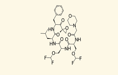 CC(C)C[C@H](NC(=O)[C@H](COC(F)F)NC(=O)[C@H](COC(F)F)NC(=O)CN1CCOCC1)C(=O)N[C@@H](Cc1ccccc1)C(=O)[C@@]1(C)CO1